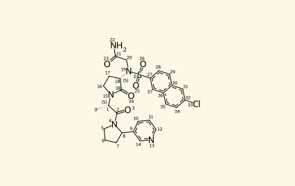 C[C@@H](C(=O)N1CCCC1c1cccnc1)N1CC[C@H](N(CC(N)=O)S(=O)(=O)c2ccc3cc(Cl)ccc3c2)C1=O